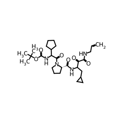 C=CCNC(=O)C(=O)C(CC1CC1)NC(=O)[C@@H]1CCCN1C(=O)C(NC(=O)OC(C)(C)C)C1CCCC1